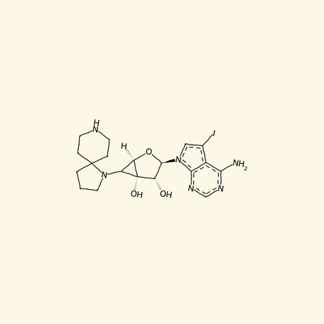 Nc1ncnc2c1c(I)cn2[C@@H]1O[C@@H]2C(N3CCCC34CCNCC4)[C@]2(O)[C@H]1O